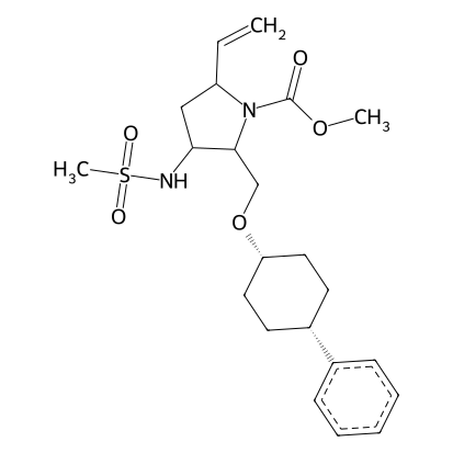 C=CC1CC(NS(C)(=O)=O)C(CO[C@H]2CC[C@@H](c3ccccc3)CC2)N1C(=O)OC